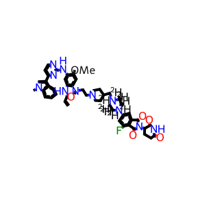 [2H]C1([2H])N(CC2CCN(CCN(C)c3cc(OC)c(Nc4nccc(-c5cn(C)c6ccccc56)n4)cc3NC(=O)C=C)CC2)C([2H])([2H])C([2H])([2H])N(c2cc(F)c3c(c2)C(=O)N(C2CCC(=O)NC2=O)C3=O)C1([2H])[2H]